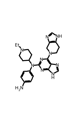 CCN1CCC(N(c2ccc(N)cc2)c2nc(N3CCc4[nH]cnc4C3)c3nc[nH]c3n2)CC1